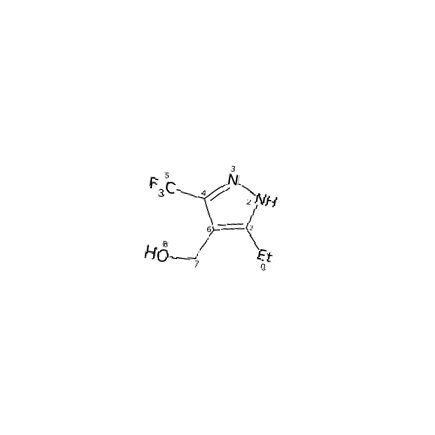 CCc1[nH]nc(C(F)(F)F)c1CO